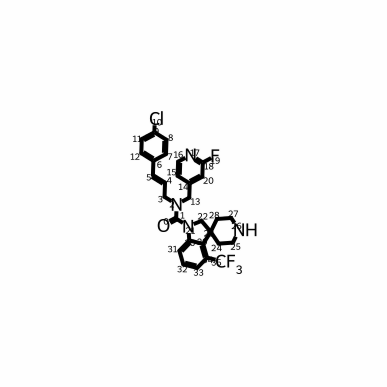 O=C(N(CC=Cc1ccc(Cl)cc1)Cc1ccnc(F)c1)N1CC2(CCNCC2)c2c1cccc2C(F)(F)F